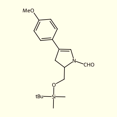 COc1ccc(C2=CN(C=O)C(CO[Si](C)(C)C(C)(C)C)C2)cc1